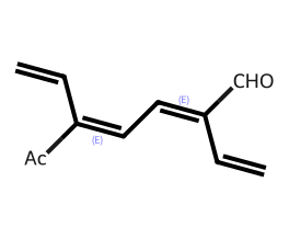 C=C/C(C=O)=C\C=C(/C=C)C(C)=O